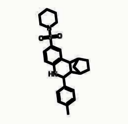 Cc1ccc(C2Nc3ccc(S(=O)(=O)N4CCCCC4)cc3C3C4CCC(C4)C23)cc1